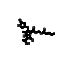 CCCCC(=O)OCOC(=O)C1=C(S[C@H]2CNC(=O)C2)C(C)[C@@H]2C(C(C)O)C(=O)N12